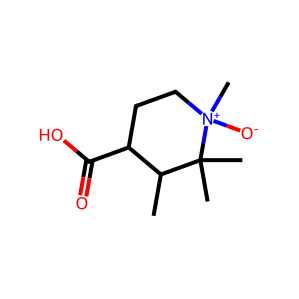 CC1C(C(=O)O)CC[N+](C)([O-])C1(C)C